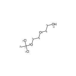 [CH2]C(Cl)(Cl)OCCOCCO